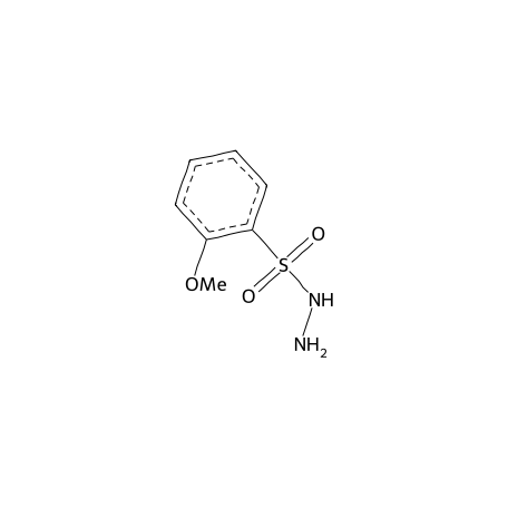 COc1ccccc1S(=O)(=O)NN